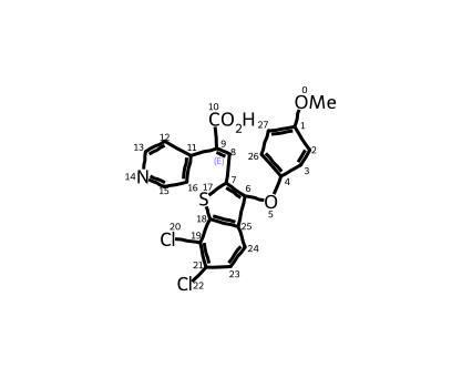 COc1ccc(Oc2c(/C=C(/C(=O)O)c3ccncc3)sc3c(Cl)c(Cl)ccc23)cc1